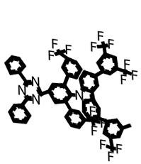 Cc1cc(-c2ccc3c(c2)c2cc(-c4cc(C(F)(F)F)cc(C(F)(F)F)c4)ccc2n3-c2c(-c3cccc(C(F)(F)F)c3)cc(-c3nc(-c4ccccc4)nc(-c4ccccc4)n3)cc2-c2cccc(C(F)(F)F)c2)cc(C(F)(F)F)c1